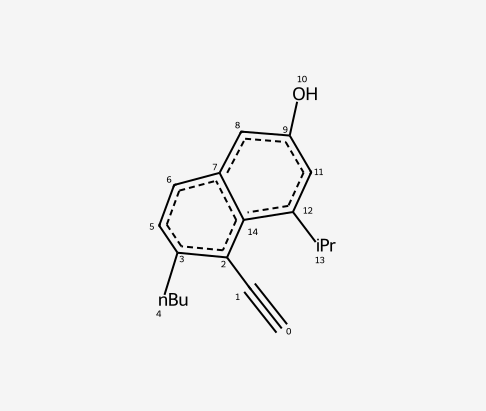 C#Cc1c(CCCC)ccc2cc(O)cc(C(C)C)c12